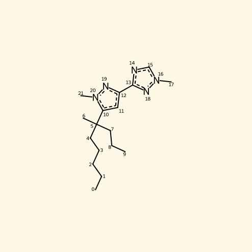 CCCCCC(C)(CCC)c1cc(-c2ncn(C)n2)nn1C